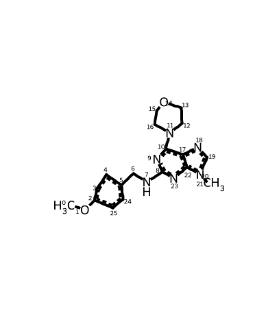 COc1ccc(CNc2nc(N3CCOCC3)c3ncn(C)c3n2)cc1